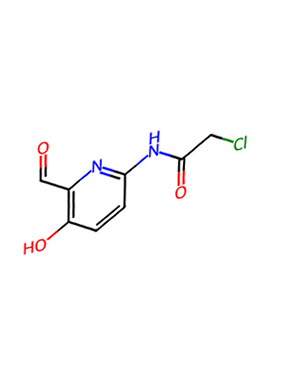 O=Cc1nc(NC(=O)CCl)ccc1O